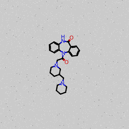 O=C1Nc2ccccc2N(C(=O)CN2CCCC(CN3CCCCC3)C2)c2ccccc21